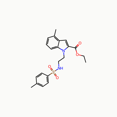 CCOC(=O)c1cc2c(C)cccc2n1CCNS(=O)(=O)c1ccc(C)cc1